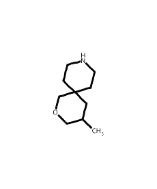 CC1COCC2(CCNCC2)C1